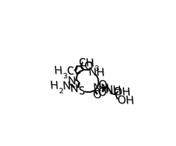 Cc1cc(C)c2cc1C(=O)NCCC(OC(=O)NCC(O)CO)NC(=O)CCSc1cc-2nc(N)n1